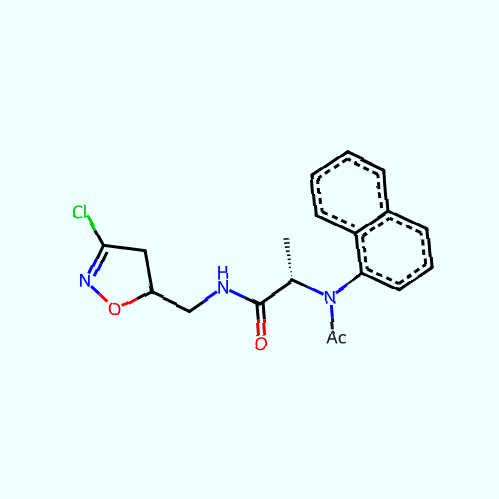 CC(=O)N(c1cccc2ccccc12)[C@@H](C)C(=O)NCC1CC(Cl)=NO1